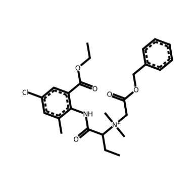 CCOC(=O)c1cc(Cl)cc(C)c1NC(=O)C(CC)[N+](C)(C)CC(=O)OCc1ccccc1